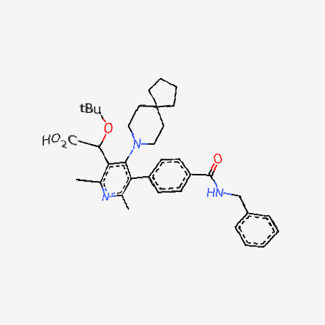 Cc1nc(C)c(C(OC(C)(C)C)C(=O)O)c(N2CCC3(CCCC3)CC2)c1-c1ccc(C(=O)NCc2ccccc2)cc1